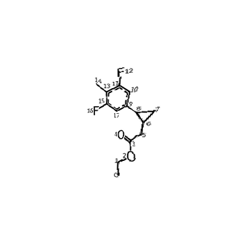 CCOC(=O)CC1CC1c1cc(F)c(C)c(F)c1